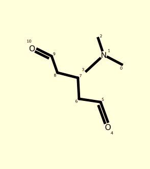 CN(C)C.O=CCCCC=O